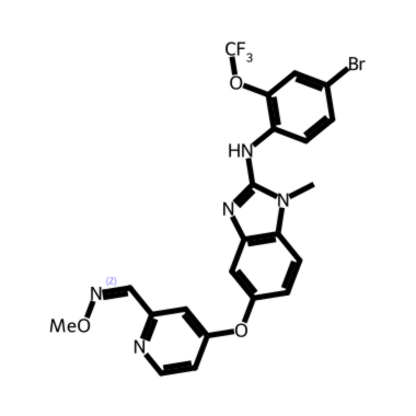 CO/N=C\c1cc(Oc2ccc3c(c2)nc(Nc2ccc(Br)cc2OC(F)(F)F)n3C)ccn1